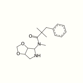 CN(C(=O)C(C)(C)Cc1ccccc1)C1NCC2OCOC21